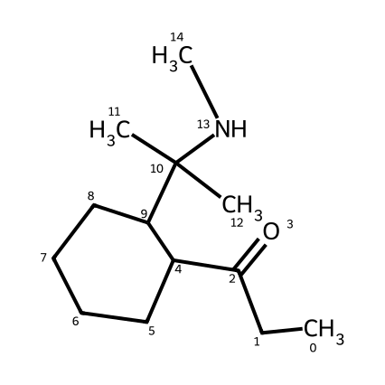 CCC(=O)C1CCCCC1C(C)(C)NC